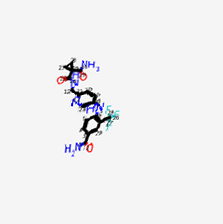 NC(=O)c1ccc(Nc2ccc(CNC(=O)C3(C(N)=O)CC3)nc2)c(C(F)(F)F)c1